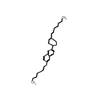 CCCCCCCc1ccc2cc(C3CCC(CCCCCCC)CC3)ccc2c1